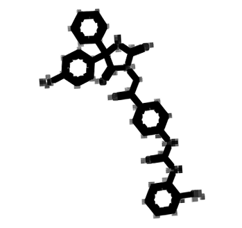 Cc1ccc(C2(c3ccccc3)NC(=O)N(CC(=O)c3ccc(NC(=O)Nc4ccccc4C)cc3)C2=O)cc1